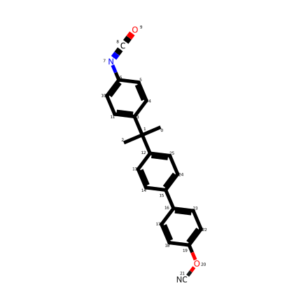 CC(C)(c1ccc(N=C=O)cc1)c1ccc(-c2ccc(OC#N)cc2)cc1